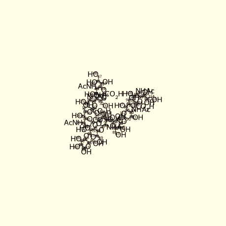 CC(=O)N[C@H]1[C@H](O[C@@H]2[C@H](O[C@]3(C(=O)O)C[C@H](O)[C@@H](NC(C)=O)[C@H]([C@H](O)[C@@H](CO)O[C@]4(C(=O)O)C[C@H](O)[C@@H](NC(C)=O)[C@H]([C@H](O)[C@@H](CO)O[C@]5(C(=O)O)C[C@H](O)[C@@H](NC(C)=O)[C@H]([C@H](O)[C@H](O)CO)O5)O4)O3)[C@@H](O)[C@H](O[C@H]3[C@H](O)[C@@H](O)[C@H](O)O[C@@H]3CO)O[C@@H]2CO)O[C@H](CO)[C@H](O)[C@@H]1O[C@@H]1O[C@H](CO)[C@H](O)[C@H](O[C@]2(C(=O)O)C[C@H](O)[C@@H](NC(C)=O)[C@H]([C@H](O)[C@@H](CO)O[C@]3(C(=O)O)C[C@H](O)[C@@H](NC(C)=O)[C@H]([C@H](O)[C@H](O)CO)O3)O2)[C@H]1O